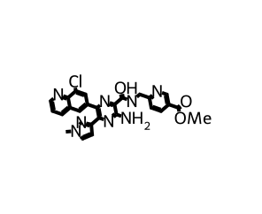 COC(=O)c1ccc(CNC(=O)c2nc(-c3cc(Cl)c4ncccc4c3)c(-c3ccn(C)n3)nc2N)nc1